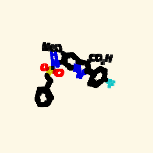 COc1cc2c(C(=O)O)c(-c3ccc(F)cc3)nn2cc1NS(=O)(=O)CCc1ccccc1